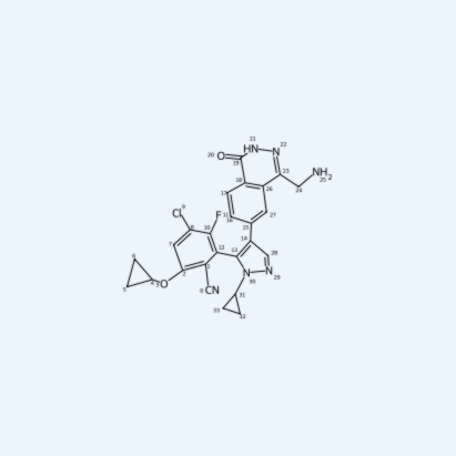 N#Cc1c(OC2CC2)cc(Cl)c(F)c1-c1c(-c2ccc3c(=O)[nH]nc(CN)c3c2)cnn1C1CC1